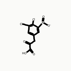 O=C(O)C(=O)Cc1cc(Cl)c(Cl)c([N+](=O)[O-])c1